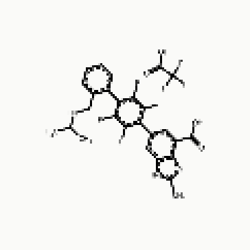 Cc1nc2c(C(=O)O)cc(-c3c(F)c(F)c(-c4ccccc4CNC(C)C)c(F)c3F)cc2[nH]1.O=C(O)C(F)(F)F